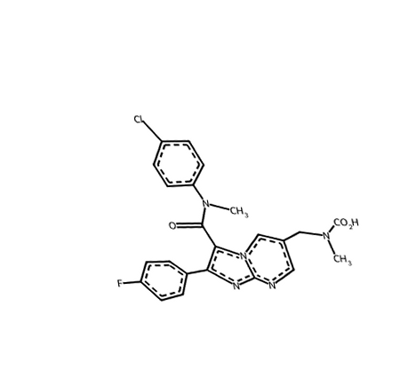 CN(Cc1cnc2nc(-c3ccc(F)cc3)c(C(=O)N(C)c3ccc(Cl)cc3)n2c1)C(=O)O